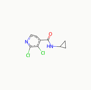 O=C(NC1CC1)c1ccnc(Cl)c1Cl